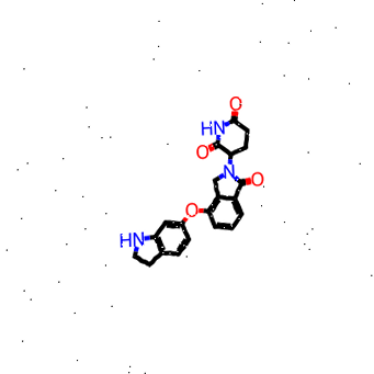 O=C1CCC(N2Cc3c(Oc4ccc5c(c4)NCC5)cccc3C2=O)C(=O)N1